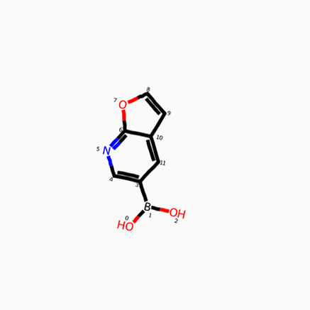 OB(O)c1cnc2occc2c1